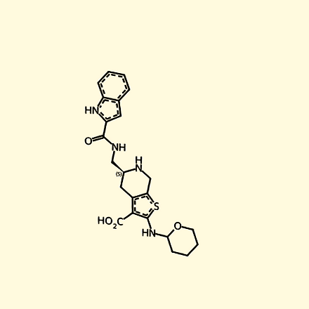 O=C(NC[C@@H]1Cc2c(sc(NC3CCCCO3)c2C(=O)O)CN1)c1cc2ccccc2[nH]1